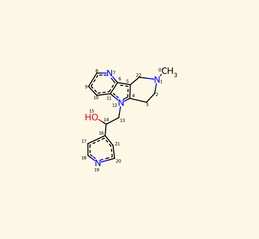 CN1CCc2c(c3ncccc3n2CC(O)c2ccncc2)C1